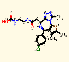 Cc1sc2c(c1C)C(c1ccc(Cl)cc1)=N[C@@H](CC(=O)NCCNC(=O)O)c1nnc(C)n1-2